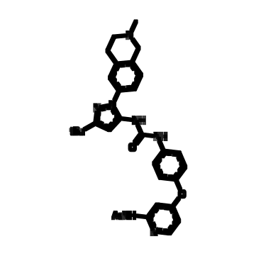 CC(=O)Nc1cc(Oc2ccc(NC(=O)Nc3cc(C(C)(C)C)nn3-c3ccc4c(c3)CCN(C)C4)cc2)ccn1